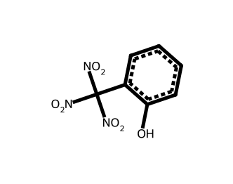 O=[N+]([O-])C(c1ccccc1O)([N+](=O)[O-])[N+](=O)[O-]